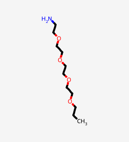 CCCOCCOCCOCCOCCN